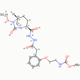 CC(C)(C)OC(=O)NCCOc1ccccc1CC(=O)NNC(=O)[C@@H]1CC[C@@H]2CN1C(=O)N2OS(=O)(=O)O